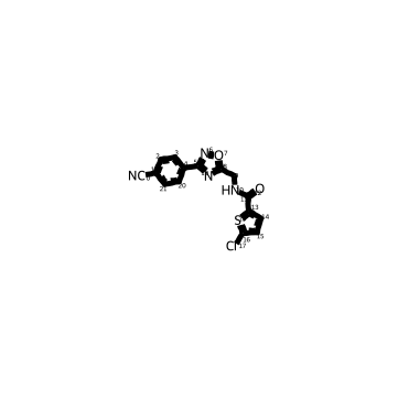 N#Cc1ccc(-c2noc(CNC(=O)c3ccc(Cl)s3)n2)cc1